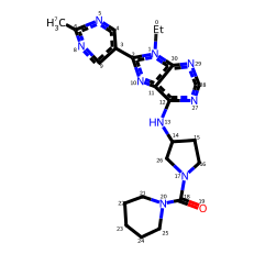 CCn1c(-c2cnc(C)nc2)nc2c(NC3CCN(C(=O)N4CCCCC4)C3)ncnc21